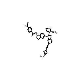 CN1CC(C#Cc2ccc3nc(-c4cccnc4N)n(-c4ccc5c(c4)CC[C@@H]5NC(=O)c4ccc(C(F)F)nc4)c3n2)C1